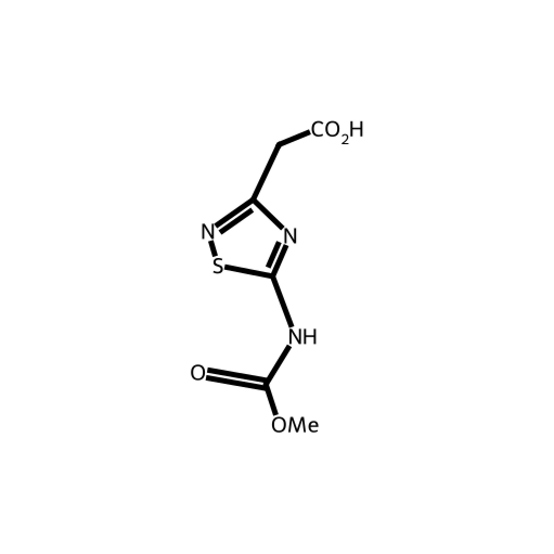 COC(=O)Nc1nc(CC(=O)O)ns1